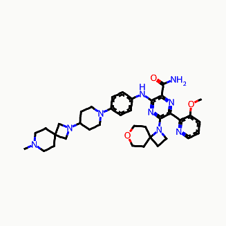 COc1cccnc1-c1nc(C(N)=O)c(Nc2ccc(N3CCC(N4CC5(CCN(C)CC5)C4)CC3)cc2)nc1N1CCC12CCOCC2